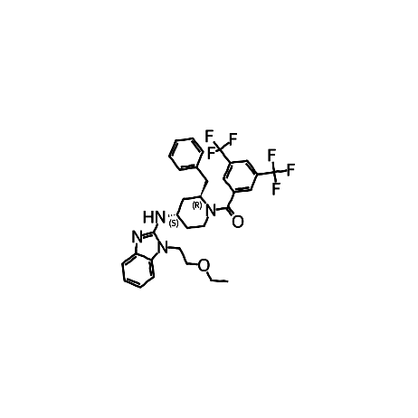 CCOCCn1c(N[C@H]2CCN(C(=O)c3cc(C(F)(F)F)cc(C(F)(F)F)c3)[C@H](Cc3ccccc3)C2)nc2ccccc21